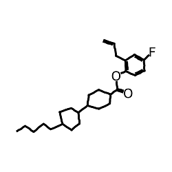 C=CCc1cc(F)ccc1OC(=O)C1CCC(C2CCC(CCCCC)CC2)CC1